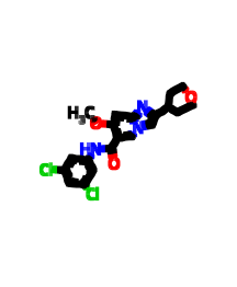 COc1cc2nc(C3CCOCC3)cn2cc1C(=O)Nc1cc(Cl)cc(Cl)c1